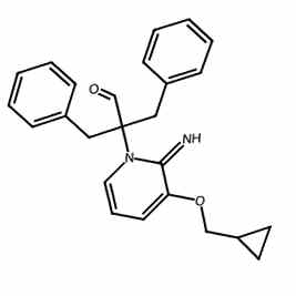 N=c1c(OCC2CC2)cccn1C(C=O)(Cc1ccccc1)Cc1ccccc1